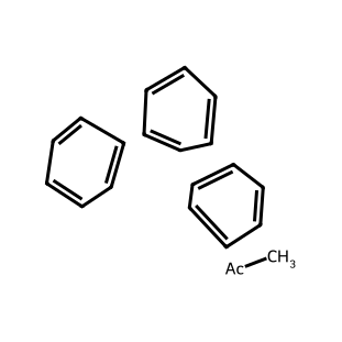 CC(C)=O.c1ccccc1.c1ccccc1.c1ccccc1